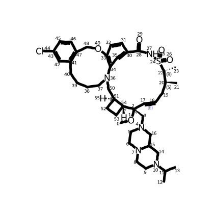 CO[C@@]1(CN2CCN3CCN(C(C)C)CC3C2)/C=C/C[C@H](C)[C@@H](C)S(=O)(=O)NC(=O)c2ccc3c(c2)N(CCCCc2cc(Cl)ccc2CO3)C[C@@H]2CC[C@H]21